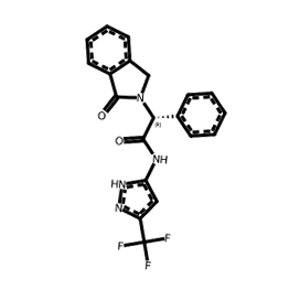 O=C(Nc1cc(C(F)(F)F)n[nH]1)[C@@H](c1ccccc1)N1Cc2ccccc2C1=O